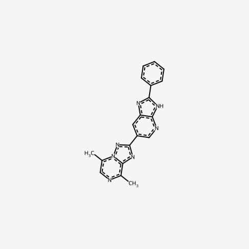 Cc1ncc(C)n2nc(-c3cnc4[nH]c(-c5ccccc5)nc4c3)nc12